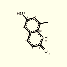 Cc1cc(O)cc2ccc(=O)[nH]c12